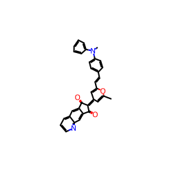 CC1=C/C(=C2/C(=O)c3cc4cccnc4cc3C2=O)C=C(/C=C/c2ccc(N(C)c3ccccc3)cc2)O1